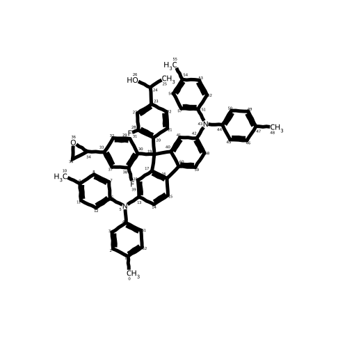 Cc1ccc(N(c2ccc(C)cc2)c2ccc3c(c2)C(c2ccc(C(C)O)cc2F)(c2ccc(C4CO4)cc2F)c2cc(N(c4ccc(C)cc4)c4ccc(C)cc4)ccc2-3)cc1